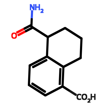 NC(=O)C1CCCc2c(C(=O)O)cccc21